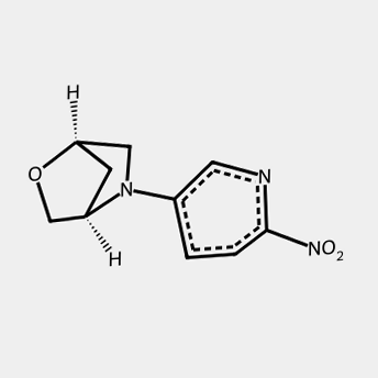 O=[N+]([O-])c1ccc(N2C[C@H]3C[C@@H]2CO3)cn1